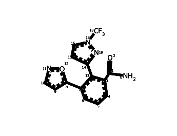 NC(=O)c1cccc(-c2ccno2)c1-c1ccn(C(F)(F)F)n1